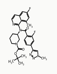 Cc1cc(F)cc2ccnc(N(C(=O)c3ccc(-c4cn(C)nn4)cc3F)[C@@H]3CCCN(C(=O)OC(C)(C)C)C3)c12